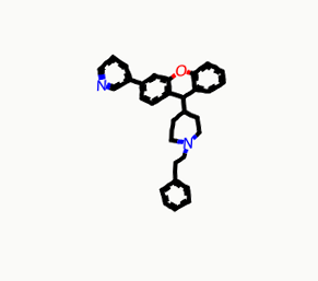 c1ccc(CCN2CCC(C3c4ccccc4Oc4cc(-c5cccnc5)ccc43)CC2)cc1